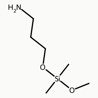 CO[Si](C)(C)OCCCN